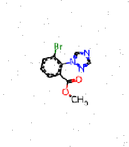 COC(=O)c1cccc(Br)c1-n1cncn1